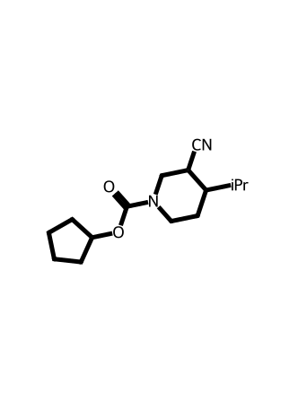 CC(C)C1CCN(C(=O)OC2CCCC2)CC1C#N